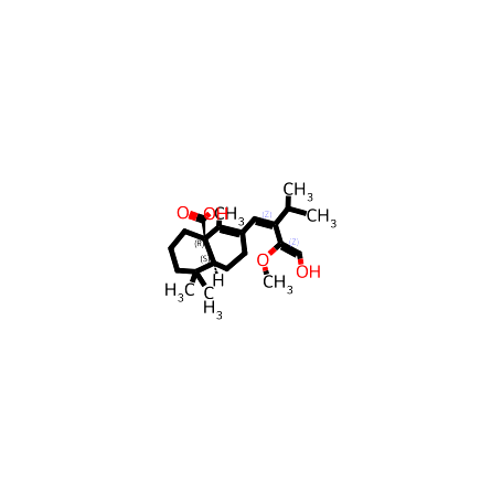 COC(=C\O)/C(=C\C1=C(C)[C@@]2(C(=O)O)CCCC(C)(C)[C@@H]2CC1)C(C)C